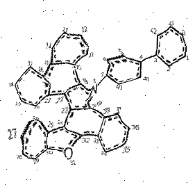 c1ccc(-c2ccc(-n3c4c5ccccc5c5ccccc5c4c4c5c6ccccc6oc5c5ccccc5c43)cc2)cc1